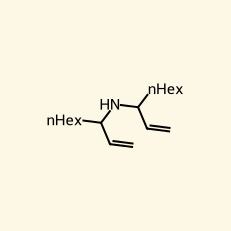 C=CC(CCCCCC)NC(C=C)CCCCCC